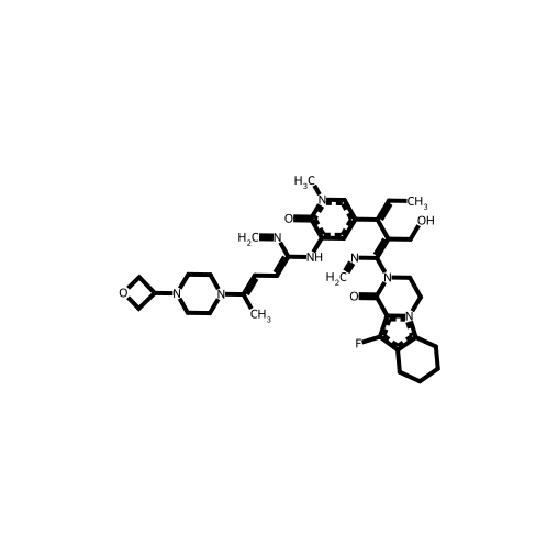 C=N/C(=C\C=C(/C)N1CCN(C2COC2)CC1)Nc1cc(C(=C/C)/C(CO)=C(\N=C)N2CCn3c4c(c(F)c3C2=O)CCCC4)cn(C)c1=O